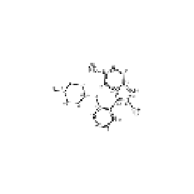 CC1CCN(Cc2cccnc2-c2c(O)[nH]c3ccc(C#N)cc23)CC1